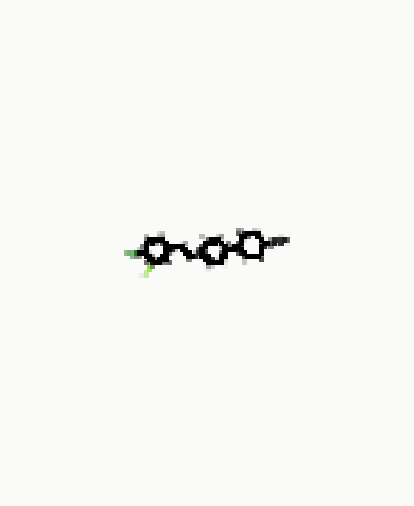 CCCC1CCC(c2ccc(CCc3ccc(Cl)c(F)c3)cc2)CC1